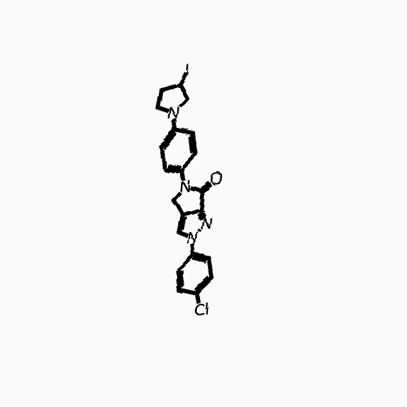 O=C1c2nn(-c3ccc(Cl)cc3)cc2CN1c1ccc(N2CCC(I)C2)cc1